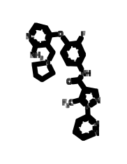 Nc1nccc(Oc2ccc(NC(=O)c3cnn(-c4cccnn4)c3C(F)(F)F)cc2F)c1CN1CCCC1